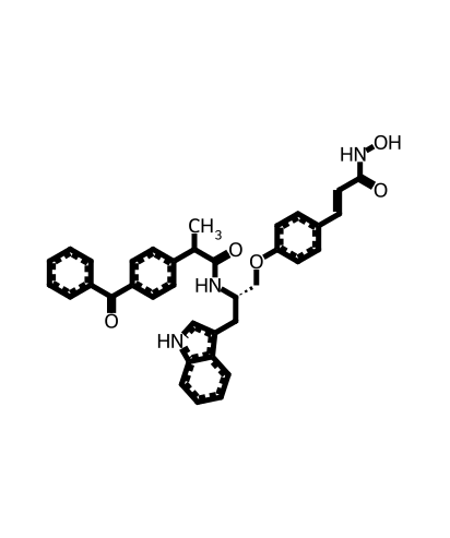 CC(C(=O)N[C@H](COc1ccc(/C=C/C(=O)NO)cc1)Cc1c[nH]c2ccccc12)c1ccc(C(=O)c2ccccc2)cc1